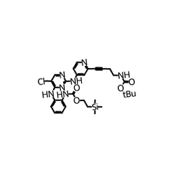 CC(C)(C)OC(=O)NCCC#Cc1cc(Nc2ncc(Cl)c(Nc3ccccc3NC(=O)OCC[Si](C)(C)C)n2)ccn1